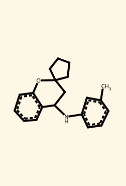 Cc1cccc(NC2CC3(CCCC3)Oc3ccccc32)c1